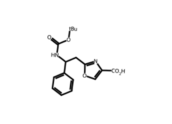 CC(C)(C)OC(=O)NC(Cc1nc(C(=O)O)co1)c1ccccc1